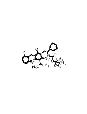 C=C(C)c1c(C)n(Cc2c(F)cccc2F)c(=O)n(C[C@H](NC(=O)OC(C)(C)C)c2ccccc2)c1=O